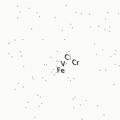 [C].[Cr].[Fe].[V]